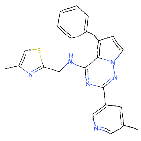 Cc1cncc(-c2nc(NCc3nc(C)cs3)c3c(-c4ccccc4)ccn3n2)c1